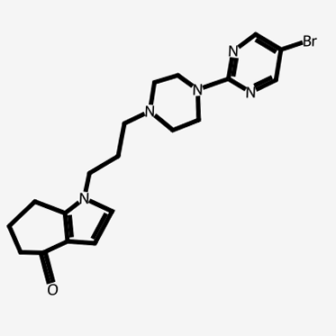 O=C1CCCc2c1ccn2CCCN1CCN(c2ncc(Br)cn2)CC1